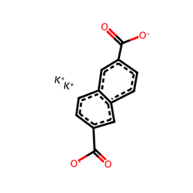 O=C([O-])c1ccc2cc(C(=O)[O-])ccc2c1.[K+].[K+]